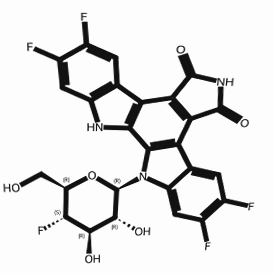 O=C1NC(=O)c2c1c1c3cc(F)c(F)cc3[nH]c1c1c2c2cc(F)c(F)cc2n1[C@@H]1O[C@H](CO)[C@@H](F)[C@H](O)[C@H]1O